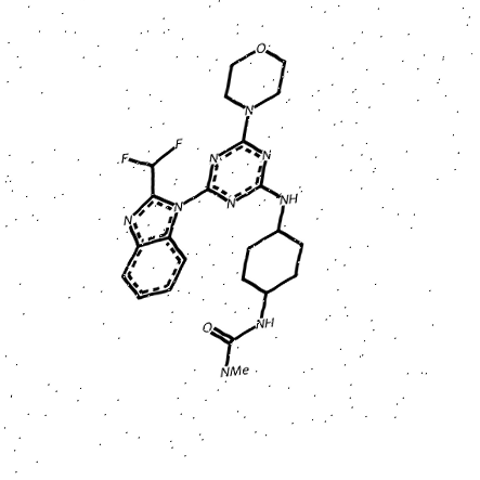 CNC(=O)NC1CCC(Nc2nc(N3CCOCC3)nc(-n3c(C(F)F)nc4ccccc43)n2)CC1